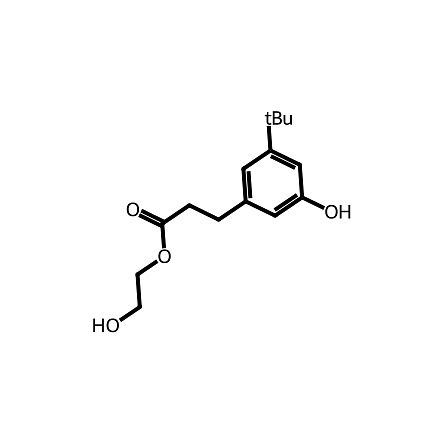 CC(C)(C)c1cc(O)cc(CCC(=O)OCCO)c1